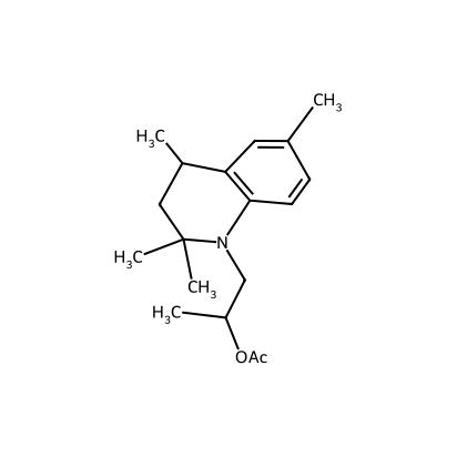 CC(=O)OC(C)CN1c2ccc(C)cc2C(C)CC1(C)C